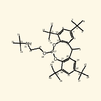 CC1c2cc(C(C)(C)C)cc(C(C)(C)C)c2OP(OCCNC(C)(C)C)Oc2c1cc(C(C)(C)C)cc2C(C)(C)C